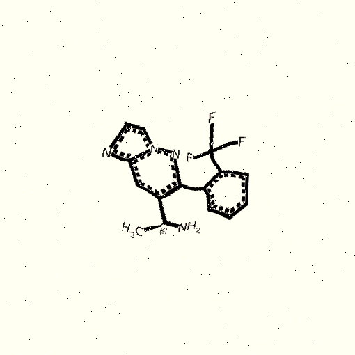 C[C@H](N)c1cc2nccn2nc1-c1ccccc1C(F)(F)F